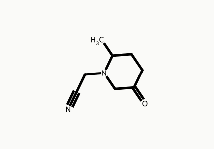 CC1CCC(=O)CN1CC#N